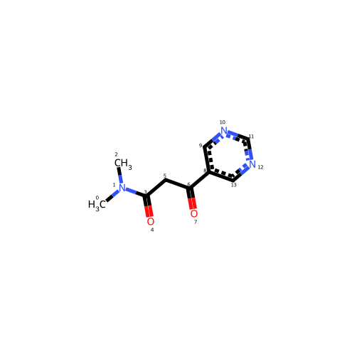 CN(C)C(=O)CC(=O)c1cncnc1